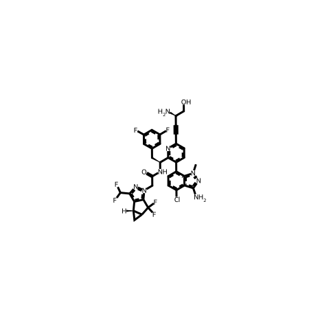 Cn1nc(N)c2c(Cl)ccc(-c3ccc(C#C[C@@H](N)CO)nc3[C@H](Cc3cc(F)cc(F)c3)NC(=O)Cn3nc(C(F)F)c4c3C(F)(F)C3C[C@H]43)c21